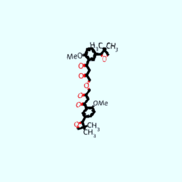 COc1ccc(C2OCC2(C)C)cc1C(=O)CC(=O)COCC(=O)CC(=O)c1cc(C2OCC2(C)C)ccc1OC